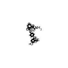 COc1ccc(Oc2ccc(CNC(=O)C3(NC(=O)CN)CCOCC3)cc2)c(C(F)(F)F)c1